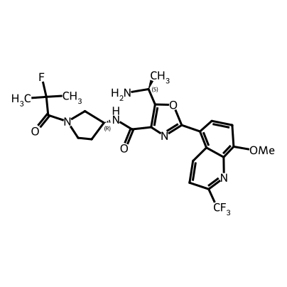 COc1ccc(-c2nc(C(=O)N[C@@H]3CCN(C(=O)C(C)(C)F)C3)c([C@H](C)N)o2)c2ccc(C(F)(F)F)nc12